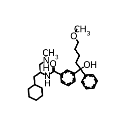 CNC[C@H](CC1CCCCC1)NC(=O)c1cccc([C@](O)(CCCCOC)c2ccccc2)c1